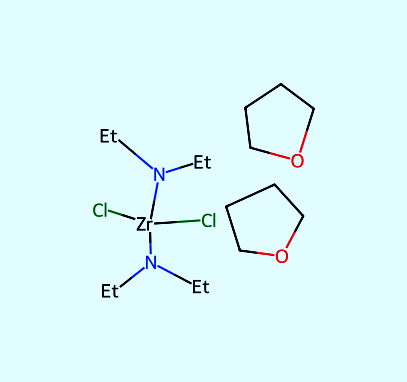 C1CCOC1.C1CCOC1.CC[N](CC)[Zr]([Cl])([Cl])[N](CC)CC